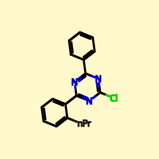 CCCc1ccccc1-c1nc(Cl)nc(-c2ccccc2)n1